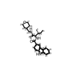 CC[C@H](C)C(NC(=O)c1ccc2[nH]c3ccccc3c2c1)C(=S)NCC1CCOCC1